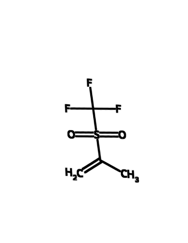 C=C(C)S(=O)(=O)C(F)(F)F